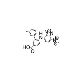 Cc1cccc(-c2cc(C(=O)O)ccc2Nc2ccc([N+](=O)[O-])c3nonc23)c1